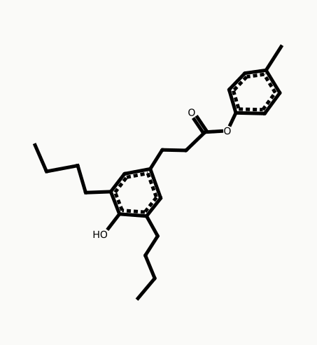 CCCCc1cc(CCC(=O)Oc2ccc(C)cc2)cc(CCCC)c1O